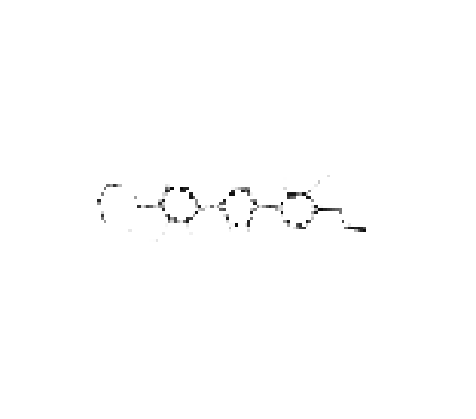 C=CCc1ccc(-c2ccc(-c3ccc(C4OCCCO4)c(F)c3F)cc2)c(F)c1F